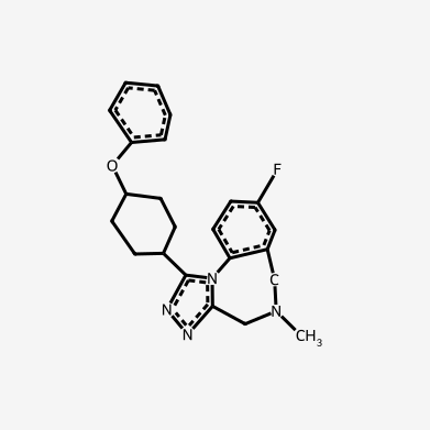 CN1Cc2cc(F)ccc2-n2c(nnc2C2CCC(Oc3ccccc3)CC2)C1